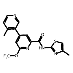 Cc1csc(NC(=O)c2cc(-c3cnccc3C)cc(OC(F)(F)F)n2)n1